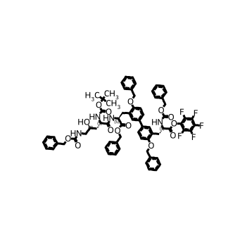 CC(C)(C)OC(=O)N[C@@H](C[C@@H](O)CNC(=O)OCc1ccccc1)C(=O)N[C@@H](Cc1cc(-c2ccc(OCc3ccccc3)c(C[C@H](NC(=O)OCc3ccccc3)C(=O)Oc3c(F)c(F)c(F)c(F)c3F)c2)ccc1OCc1ccccc1)C(=O)OCc1ccccc1